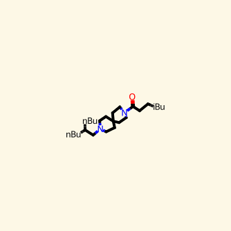 CCCCC(CCCC)CN1CCC2(CC1)CCN(C(=O)CCC(C)CC)CC2